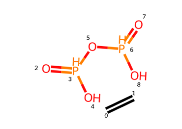 C=C.O=[PH](O)O[PH](=O)O